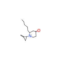 C=C1CC1N1CCC(=O)CC1CCCCC